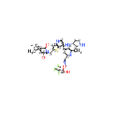 Cc1nc(C#N)cc(-c2ccnc3cc(CN4C(=O)C5C(C4=O)C5(C)C)sc23)c1NC1CCNC1.O=C(O)C(F)(F)F